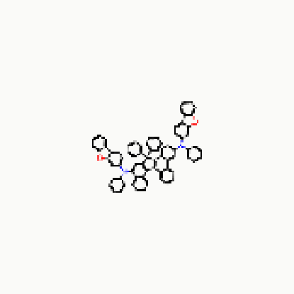 c1ccc(N(c2ccc3c(c2)oc2ccccc23)c2ccc3c4c(c5ccccc5c3c2)-c2c(cc(N(c3ccccc3)c3ccc5c(c3)oc3ccccc35)c3ccccc23)C4(c2ccccc2)c2ccccc2)cc1